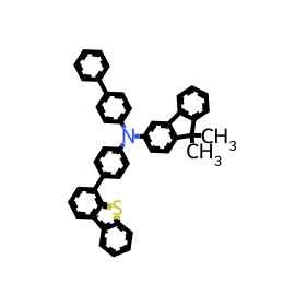 CC1(C)c2ccccc2-c2cc(N(c3ccc(-c4ccccc4)cc3)c3ccc(-c4cccc5c4sc4ccccc45)cc3)ccc21